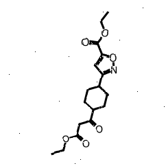 CCOC(=O)CC(=O)C1CCC(c2cc(C(=O)OCC)on2)CC1